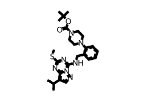 CSc1nc(NCc2ccccc2N2CCN(C(=O)OC(C)(C)C)CC2)n2ncc(C(C)C)c2n1